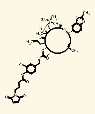 C=CC[C@H]1C(=O)C(C)(C)[C@@H](O[Si](C)(C)C(C)(C)C)CC(=O)O[C@H](c2ccc3sc(C)nc3c2)C/C=C(/C)CCC[C@H](C)[C@@H]1OC(=O)OCc1ccc(OC(=O)CCCN2C(=O)C=CC2=O)c(Cl)c1